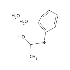 CC(O)[B]c1ccccc1.O.O